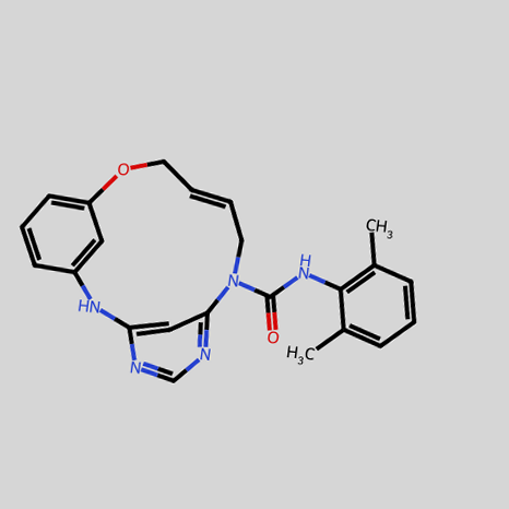 Cc1cccc(C)c1NC(=O)N1C/C=C/COc2cccc(c2)Nc2cc1ncn2